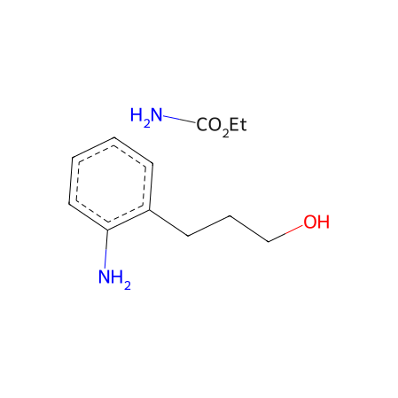 CCOC(N)=O.Nc1ccccc1CCCO